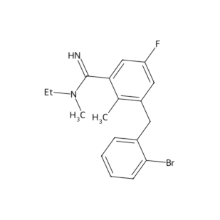 CCN(C)C(=N)c1cc(F)cc(Cc2ccccc2Br)c1C